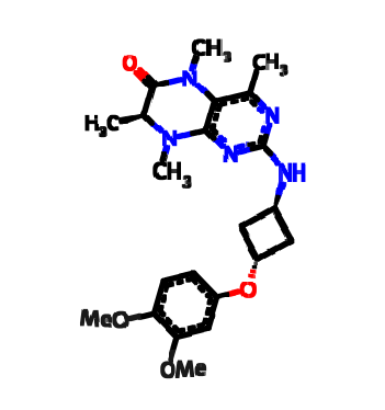 COc1ccc(O[C@H]2C[C@H](Nc3nc(C)c4c(n3)N(C)[C@@H](C)C(=O)N4C)C2)cc1OC